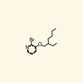 CCCCC(CC)COc1cccnc1Br